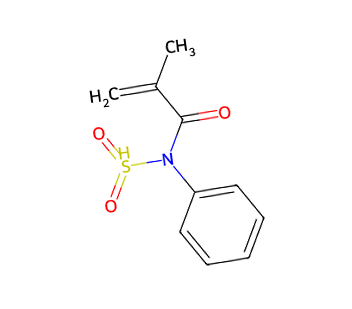 C=C(C)C(=O)N(c1ccccc1)[SH](=O)=O